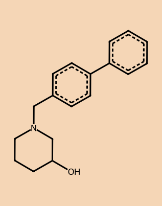 OC1CCCN(Cc2ccc(-c3ccccc3)cc2)C1